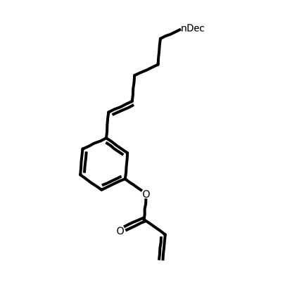 C=CC(=O)Oc1cccc(C=CCCCCCCCCCCCCC)c1